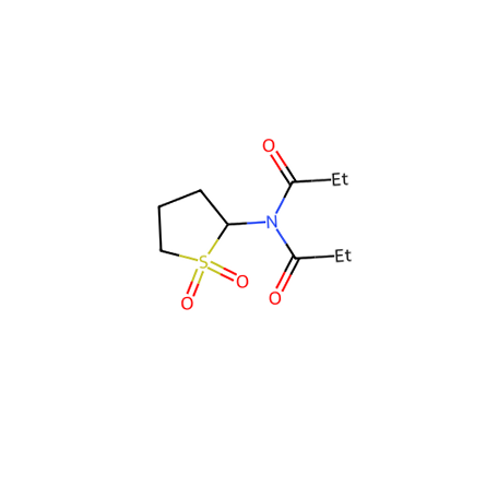 CCC(=O)N(C(=O)CC)C1CCCS1(=O)=O